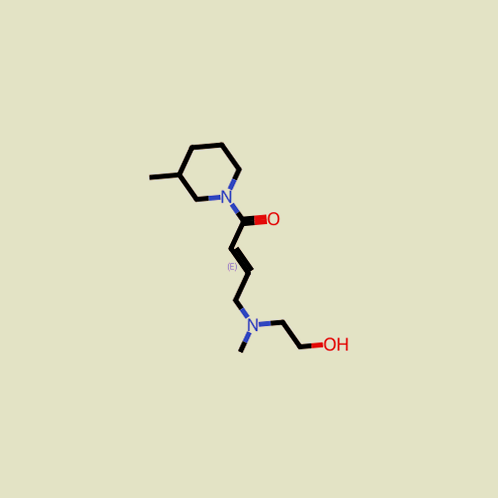 CC1CCCN(C(=O)/C=C/CN(C)CCO)C1